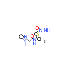 CC(NC(=O)C1CC1c1nc2ccccc2[nH]1)c1ccc(C(=O)N2CCNCC2)s1